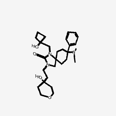 CN(C)C1(c2ccccc2)CCC2(CC1)CN(CCC1(O)CCOCC1)C(=O)N2CC1(O)CCC1